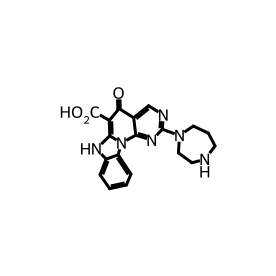 O=C(O)c1c(=O)c2cnc(N3CCCNCC3)nc2n2c1[nH]c1ccccc12